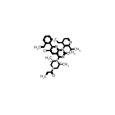 C=CC(=O)N1C[C@H](C)N(c2nc(=O)n(C3=C(C(C)C)N=CCC3CC)c3nc(-c4ccccc4C=C)c(Cl)cc23)[C@@H](C)C1